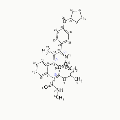 CCO/N=C(\C(=O)NC)c1ccccc1/C(ON)=C(C)/C(=N\OC)c1ccc(OC2CCCC2)cc1